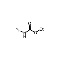 [3H]NC(=O)OCC